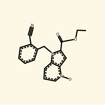 CCOC(=O)c1cc2c(ccc[n+]2[O-])n1Cc1ccccc1C#N